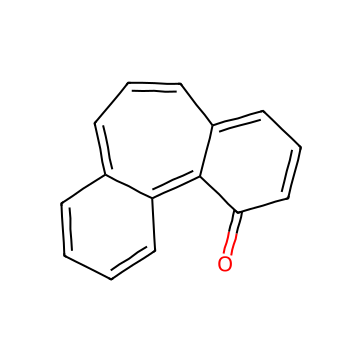 O=c1cccc2cccc3ccccc3c1-2